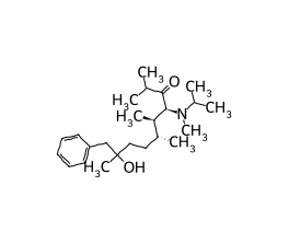 CC(C)C(=O)[C@H]([C@H](C)[C@H](C)CCC(C)(O)Cc1ccccc1)N(C)C(C)C